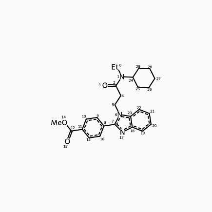 CCN(C(=O)CCn1c(-c2ccc(C(=O)OC)cc2)nc2ccccc21)C1CCCCC1